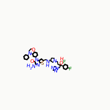 Nc1nc2sc(CN[C@@H]3CCN(CC[C@@](O)(Cn4cncn4)c4ccc(F)cc4F)C3)cc2n(-c2ccc3c(c2)N(c2ccccc2)CCO3)c1=O